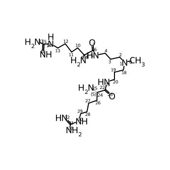 CN(CCCNC(=O)[C@@H](N)CCCCNC(=N)N)CCCNC(=O)[C@@H](N)CCCCNC(=N)N